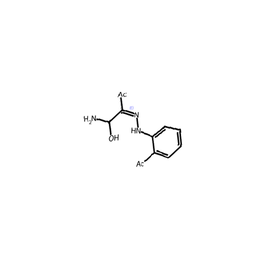 CC(=O)/C(=N/Nc1ccccc1C(C)=O)C(N)O